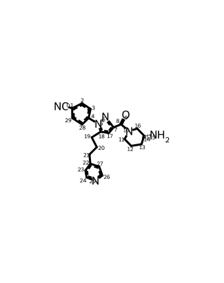 N#Cc1ccc(-n2nc(C(=O)N3CCC[C@@H](N)C3)cc2CCCc2ccncc2)cc1